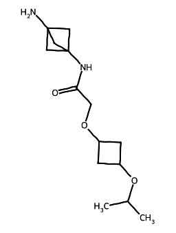 CC(C)OC1CC(OCC(=O)NC23CC(N)(C2)C3)C1